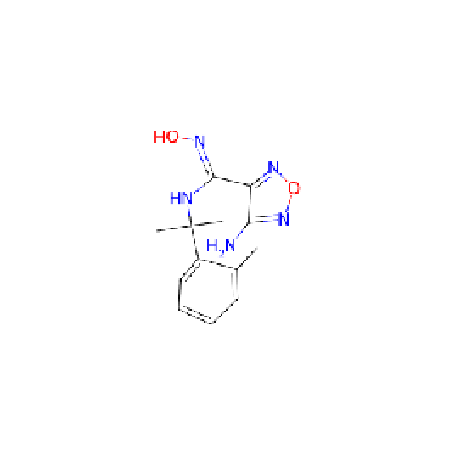 Cc1ccccc1C(C)(C)N/C(=N\O)c1nonc1N